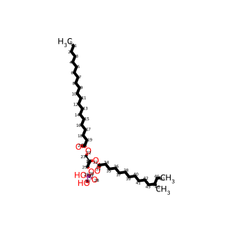 CCCCCCCCCCCCCCCCCCCCC(=O)OC[C@H](COP(=O)(O)O)OC(=O)CCCCCCCCCCC(C)CC